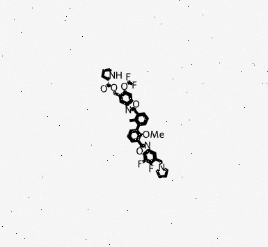 COc1c(-c2nc3cc(CN4CCCC4)c(F)c(F)c3o2)cccc1-c1cccc(-c2nc3cc(COC(=O)[C@@H]4CCCN4)c(OC(F)F)cc3o2)c1C